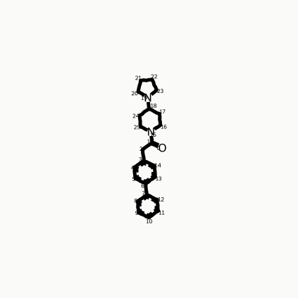 O=C(Cc1ccc(-c2ccccc2)cc1)N1CCC(N2CCCC2)CC1